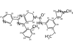 CCc1cc(NC(=O)N2CCc3nc(-c4cccnc4)nc(-c4ccccc4C)c3C2)cc(-c2cnn(C)c2)c1